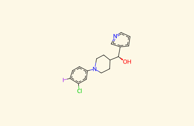 O[C@H](c1cccnc1)C1CCN(c2ccc(I)c(Cl)c2)CC1